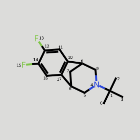 CC(C)(C)N1CC2CC(C1)c1cc(F)c(F)cc12